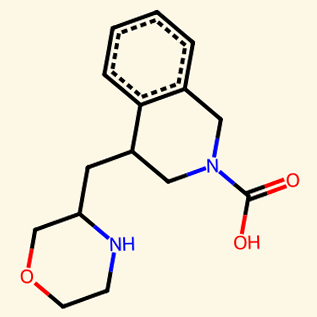 O=C(O)N1Cc2ccccc2C(CC2COCCN2)C1